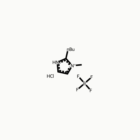 CCCCc1[nH]cc[n+]1C.Cl.F[B-](F)(F)F